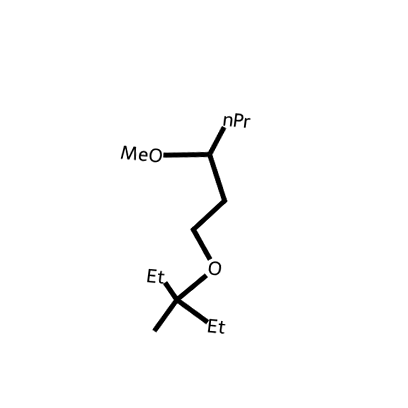 CCCC(CCOC(C)(CC)CC)OC